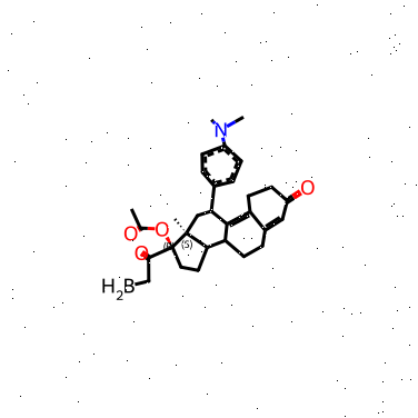 BCC(=O)[C@@]1(OC(C)=O)CCC2C3CCC4=CC(=O)CCC4=C3C(c3ccc(N(C)C)cc3)C[C@@]21C